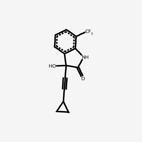 O=C1Nc2c(C(F)(F)F)cccc2C1(O)C#CC1CC1